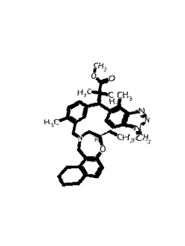 CC[C@@H]1CN(Cc2cc(C(c3ccc4c(nnn4C)c3C)C(C)(C)C(=O)OC)ccc2C)Cc2c(ccc3c2CCCC3)O1